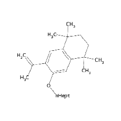 C=C(C)c1cc2c(cc1OCCCCCCC)C(C)(C)CCC2(C)C